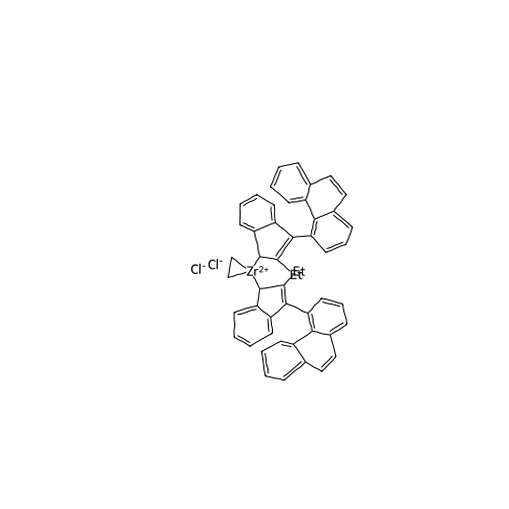 CCC1=C(c2cccc3ccc4ccccc4c23)c2ccccc2[CH]1[Zr+2]1([CH]2C(CC)=C(c3cccc4ccc5ccccc5c34)c3ccccc32)[CH2][CH2]1.[Cl-].[Cl-]